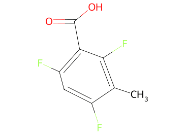 Cc1c(F)cc(F)c(C(=O)O)c1F